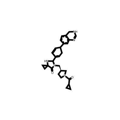 O=C(C1CC1)N1CC[C@@H](CN2C(=O)C3(CC3)NC2C2=CCC(c3ccc4c(c3)N=CNC4)C=C2)C1